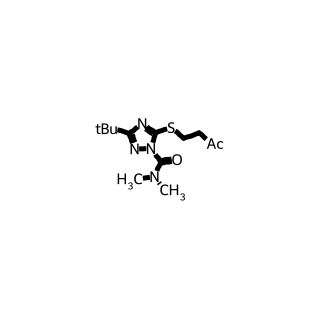 CC(=O)CCSc1nc(C(C)(C)C)nn1C(=O)N(C)C